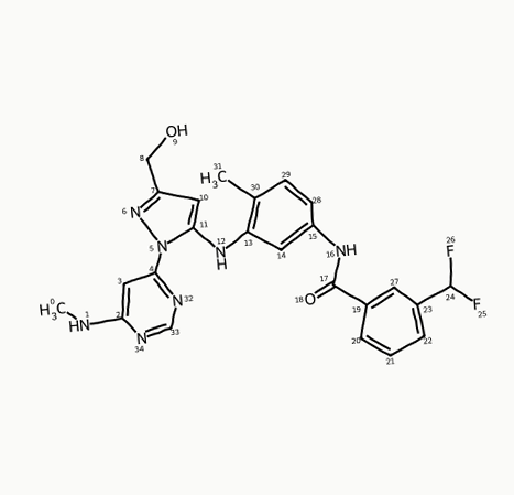 CNc1cc(-n2nc(CO)cc2Nc2cc(NC(=O)c3cccc(C(F)F)c3)ccc2C)ncn1